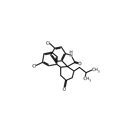 CC(C)CC1CC(=O)CC(c2cccc(Cl)c2)C12C(=O)Nc1cc(Cl)ccc12